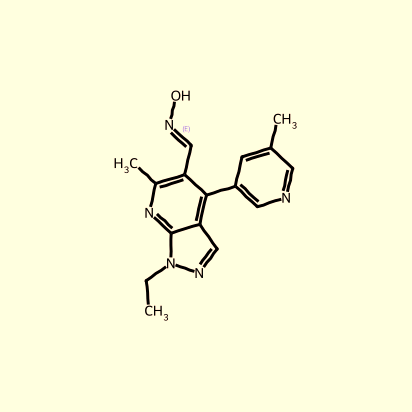 CCn1ncc2c(-c3cncc(C)c3)c(/C=N/O)c(C)nc21